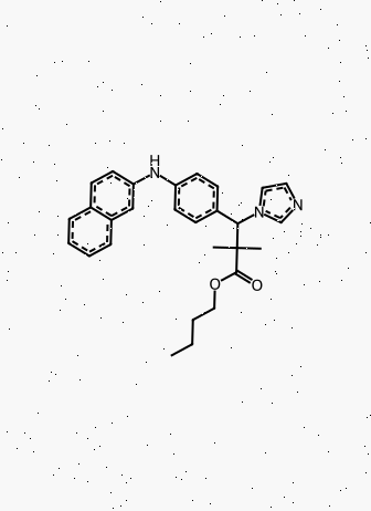 CCCCOC(=O)C(C)(C)C(c1ccc(Nc2ccc3ccccc3c2)cc1)n1ccnc1